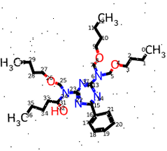 CCCCOCN(COCCCC)c1nc(-c2ccccc2)nc(N(COCCCC)C(O)CCCC)n1